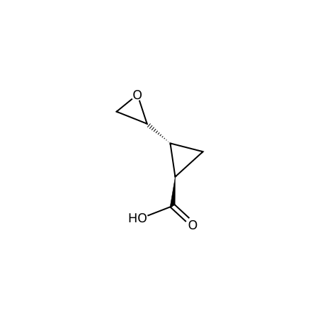 O=C(O)[C@@H]1C[C@H]1C1CO1